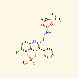 CC(C)(C)OC(=O)NCCc1nc2ccc(F)cc2c(CS(C)(=O)=O)c1-c1ccccc1